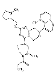 C=CC(=O)N1CCN(c2nc(OCC3CCCN3C)nc3c2COC(c2cccc4cccc(Cl)c24)C3)C[C@H]1C